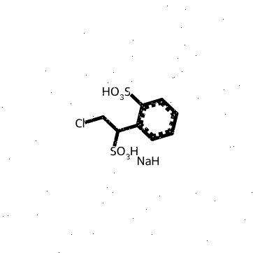 O=S(=O)(O)c1ccccc1C(CCl)S(=O)(=O)O.[NaH]